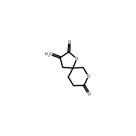 C=C1CC2(CCC(=O)OC2)OC1=O